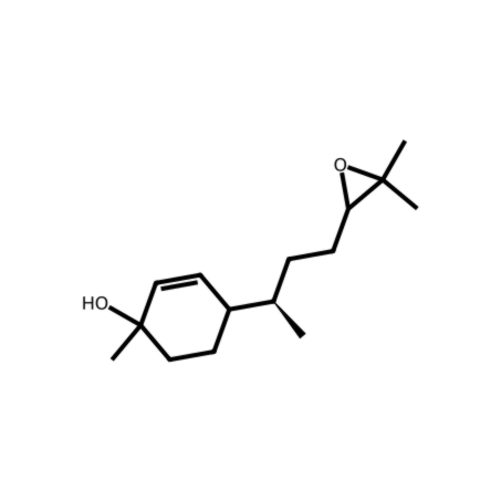 C[C@H](CCC1OC1(C)C)C1C=CC(C)(O)CC1